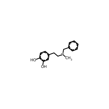 CN(CCc1ccc(O)c(O)c1)Cc1ccccc1